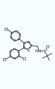 CC(C)(C)[S+]([O-])NCc1cc(-c2ccc(Cl)cc2)c(-c2ccc(Cl)cc2Cl)s1